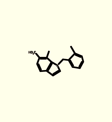 Cc1ccccc1Cn1ccc2ccc(C(=O)O)c(C)c21